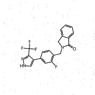 O=C1c2ccccc2CN1Cc1ccc(-c2c[nH]nc2C(F)(F)F)cc1F